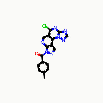 Cc1ccc(C(=O)n2ncc3c2ncc2c(Cl)nc4ncnn4c23)cc1